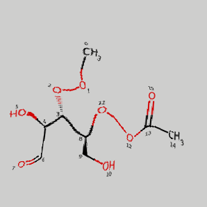 COO[C@@H]([C@H](O)C=O)[C@H](CO)OOC(C)=O